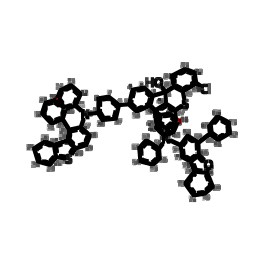 OC1(c2ccc(-c3ccc(N(c4ccccc4)c4ccc5sc6ccccc6c5c4-c4ccccc4)cc3)cc2-c2ccccc2)c2ccc(N(c3ccccc3)c3cc(-c4ccccc4)c4oc5ccccc5c4c3)cc2Sc2c(Cl)cccc21